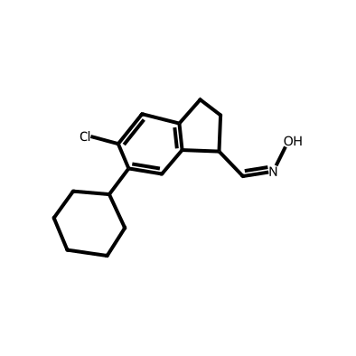 O/N=C\C1CCc2cc(Cl)c(C3CCCCC3)cc21